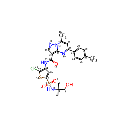 CC(C)(CO)NS(=O)(=O)c1cc(NC(=O)c2cnn3c(C(F)(F)F)cc(-c4ccc(C(F)(F)F)cc4)nc23)c(Cl)s1